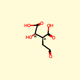 O=CC[C@H](C(=O)O)[C@@H](O)C(=O)O